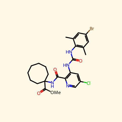 COC(=O)C1(NC(=O)c2ncc(Cl)cc2NC(=O)Nc2c(C)cc(Br)cc2C)CCCCCCC1